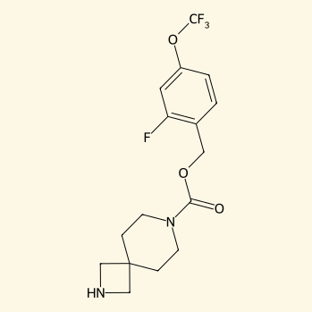 O=C(OCc1ccc(OC(F)(F)F)cc1F)N1CCC2(CC1)CNC2